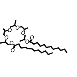 CCCCCCCCCCCC(=O)OCC(C)OCC(C)OCC(C)OCC(C)OCC(C)OC(=O)CCCCCCCCCCC